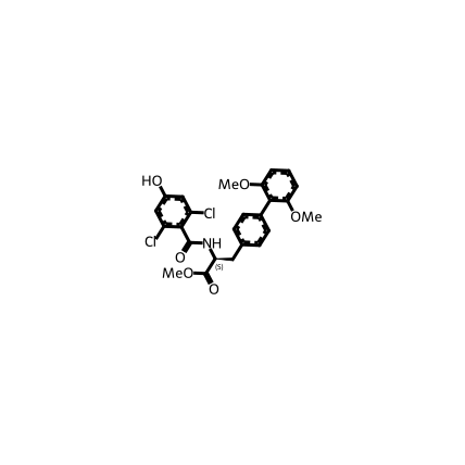 COC(=O)[C@H](Cc1ccc(-c2c(OC)cccc2OC)cc1)NC(=O)c1c(Cl)cc(O)cc1Cl